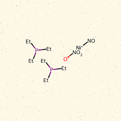 CCP(CC)CC.CCP(CC)CC.O=[N+]([O-])[O-].O=[N][Ni+]